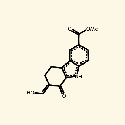 COC(=O)c1ccc2[nH]c3c(c2c1)CCC(=CO)C3=O